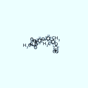 Cc1cc(OC2CCS(=O)(=O)CC2)cc(C)c1-c1cccc(COc2ccc(B3OC(=O)CN(C)CC(=O)O3)cc2)c1